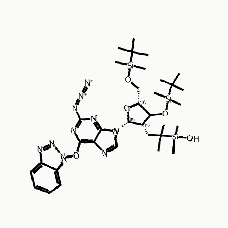 CC(C)(C[C@H]1C(O[Si](C)(C)C(C)(C)C)[C@@H](CO[Si](C)(C)C(C)(C)C)O[C@H]1n1cnc2c(On3nnc4ccccc43)nc(N=[N+]=[N-])nc21)[Si](C)(C)O